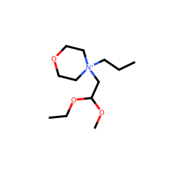 CCC[N+]1(CC(OC)OCC)CCOCC1